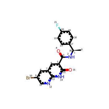 C[C@@H](NC(=O)c1cc2cc(Br)cnc2[nH]c1=O)c1ccc(F)cc1